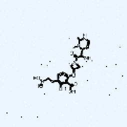 CC1NC=CC(C(N)C(=O)N2CC(Oc3ccc(CCB(O)O)c(O)c3C(=O)O)C2)N1C